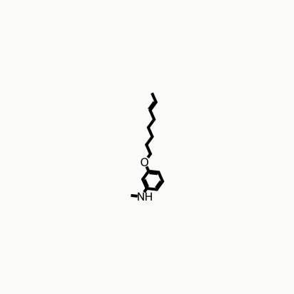 C/C=C/CCCCCOc1cccc(NC)c1